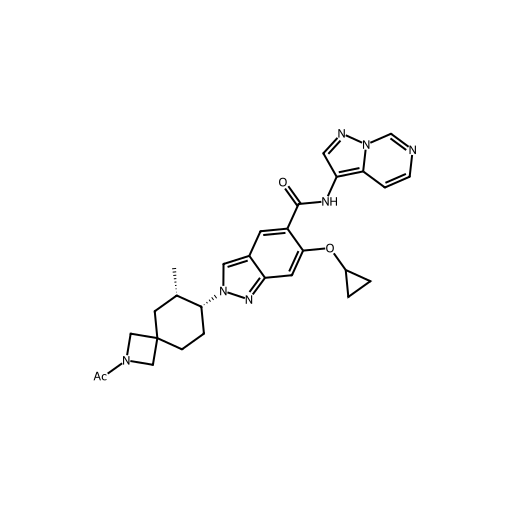 CC(=O)N1CC2(CC[C@@H](n3cc4cc(C(=O)Nc5cnn6cnccc56)c(OC5CC5)cc4n3)[C@@H](C)C2)C1